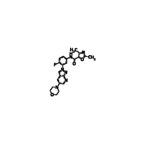 Cc1nc(C)c(C(=O)Nc2ccc(F)c(-n3cc4cc(N5CCOCC5)cnc4n3)c2)o1